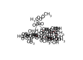 Cc1ccc(OC(=O)C(C)(COC(=O)CCCCCOC(=O)C(C)(COC(=O)C(C)(COC(=O)C(C)(O)O)COC(=O)C(C)(CO)CO)COC(=O)C(C)(COC(=O)C(C)(O)CO)COC(=O)C(C)(CO)CO)COC(=O)CCCCCOC(=O)C(C)(COC(=O)C(C)(COC(=O)C(C)(O)O)COC(=O)C(C)(CO)CO)COC(=O)C(C)(COC(=O)C(C)(CO)CO)COC(=O)C(C)(CO)CO)cc1